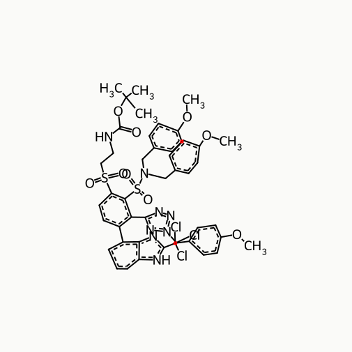 COc1ccc(CN(Cc2ccc(OC)cc2)S(=O)(=O)c2c(S(=O)(=O)CCNC(=O)OC(C)(C)C)ccc(-c3cccc4[nH]c(C(Cl)(Cl)Cl)nc34)c2-c2nnn(Cc3ccc(OC)cc3)n2)cc1